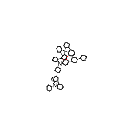 c1ccc(-c2ccc(-c3ccc(N(c4ccc(-c5ccc6c(c5)c5ccccc5n6-c5ccccc5)cc4)c4ccccc4-c4cccc5c4-c4ccccc4C54c5ccccc5-c5ccccc54)cc3)cc2)cc1